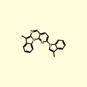 Cc1cn(-c2ccc3cnc4c(C)c5ccccc5n4c3n2)c2ccccc12